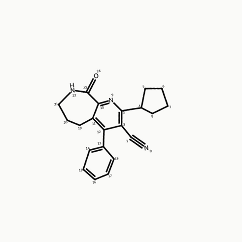 N#Cc1c(C2CCCC2)nc2c(c1-c1ccccc1)CCCNC2=O